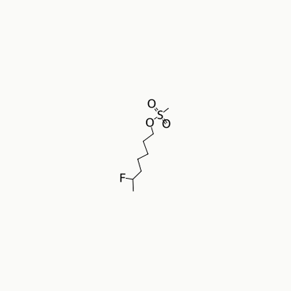 CC(F)CCCCCOS(C)(=O)=O